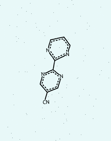 N#Cc1cnc(-c2ncccn2)nc1